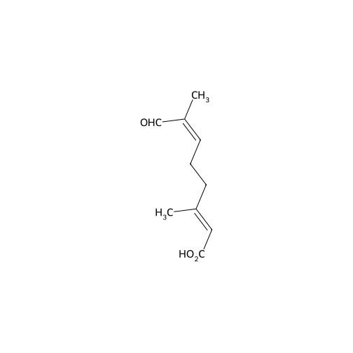 C/C(C=O)=C/CC/C(C)=C/C(=O)O